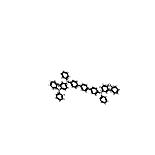 c1ccc(N(c2ccc(-c3ccc(-c4ccc(N(c5ccccc5)c5ccc6c(c5)c5ccccc5n6-c5ccccc5)cc4)cc3)cc2)c2ccc3oc4ccccc4c3c2)cc1